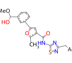 COC(O)c1cccc(-c2cc(C(=O)Nc3nc(CC(C)=O)ns3)c(C)o2)c1